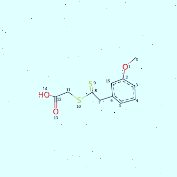 COc1cccc(CC(=S)SCC(=O)O)c1